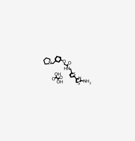 Nc1nc(-c2ccc(CNC(=O)COc3cccc(CN4CCCCC4)c3)s2)cs1.O=C(O)C(=O)O